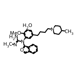 CN=C(N)N(c1cc(CCCCN2CCC(C)CC2)ccc1OC)c1occ2ccccc12.O